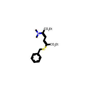 CCOC(=O)C(=CC=C(C(=O)OCC)N(C)C)SCc1ccccc1